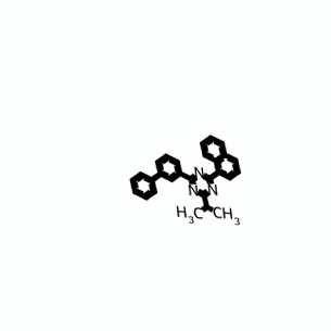 CC(C)c1nc(-c2cccc(-c3ccccc3)c2)nc(-c2cccc3ccccc23)n1